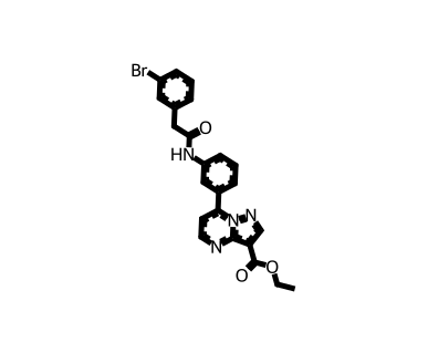 CCOC(=O)c1cnn2c(-c3cccc(NC(=O)Cc4cccc(Br)c4)c3)ccnc12